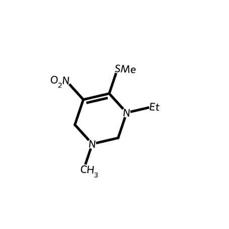 CCN1CN(C)CC([N+](=O)[O-])=C1SC